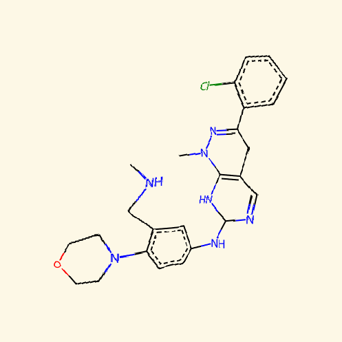 CNCc1cc(NC2N=CC3=C(N2)N(C)N=C(c2ccccc2Cl)C3)ccc1N1CCOCC1